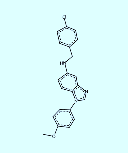 COc1ccc(-n2cnc3cc(NCc4ccc(Cl)cc4)ccc32)cc1